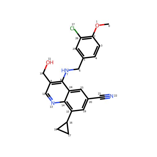 COc1ccc(CNc2c(CO)cnc3c(C4CC4)cc(C#N)cc23)cc1Cl